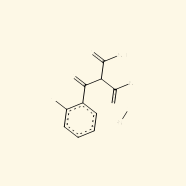 NC(=O)C(C(N)=O)C(=O)c1ccccc1C(F)(F)F.O=NO